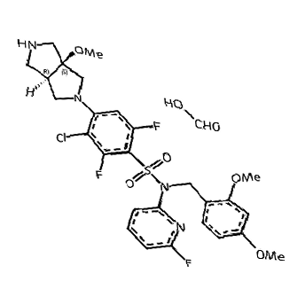 COc1ccc(CN(c2cccc(F)n2)S(=O)(=O)c2c(F)cc(N3C[C@H]4CNC[C@]4(OC)C3)c(Cl)c2F)c(OC)c1.O=CO